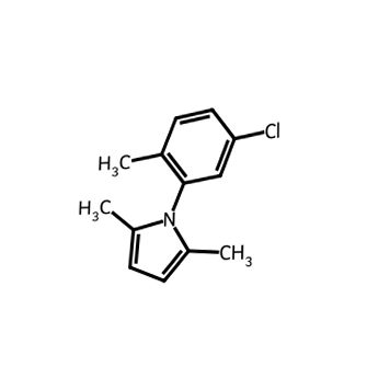 Cc1ccc(Cl)cc1-n1c(C)ccc1C